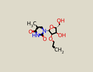 C=CCO[C@@H]1[C@H](O)[C@@H](CO)O[C@H]1n1cc(C)c(=O)[nH]c1=O